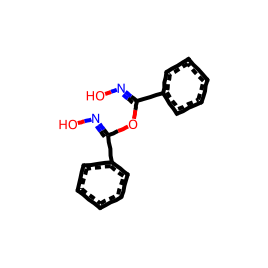 ON=C(OC(=NO)c1ccccc1)c1ccccc1